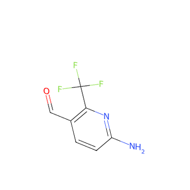 Nc1ccc(C=O)c(C(F)(F)F)n1